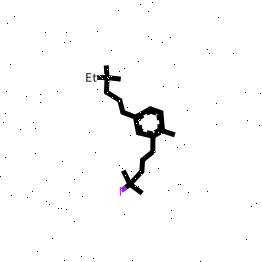 CCC(C)(C)CCCc1ccc(C)c(CCCC(C)(C)I)c1